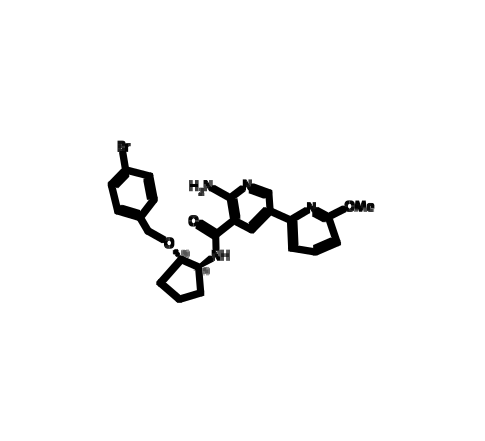 COc1cccc(-c2cnc(N)c(C(=O)N[C@H]3CCC[C@@H]3OCc3ccc(Br)cc3)c2)n1